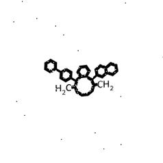 C=c1ccccc(=C)c(-c2ccc3ccccc3c2)c2ccccc2c1-c1ccc(-c2ccccc2)cc1